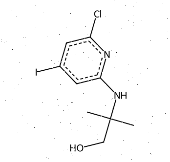 CC(C)(CO)Nc1cc(I)cc(Cl)n1